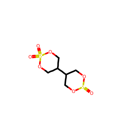 O=S1OCC(C2COS(=O)(=O)OC2)CO1